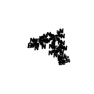 N#[C][Fe-4]([C]#N)([C]#N)([C]#N)([C]#N)[C]#N.N#[C][Fe-4]([C]#N)([C]#N)([C]#N)([C]#N)[C]#N.N#[C][Fe-4]([C]#N)([C]#N)([C]#N)([C]#N)[C]#N.[Fe+3].[Fe+3].[Fe+3].[Fe+3].[KH]